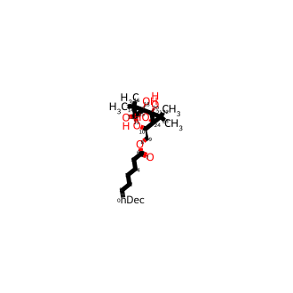 CCCCCCCCCCCCCCCC(=O)OC[C@H]1OC2(O)C(C)(C)[C@@]2(O)[C@]2(O)C(C)(C)[C@]12O